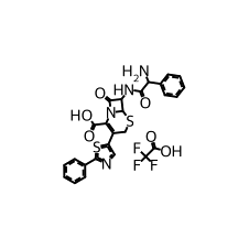 NC(C(=O)NC1C(=O)N2C(C(=O)O)=C(c3cnc(-c4ccccc4)s3)CSC12)c1ccccc1.O=C(O)C(F)(F)F